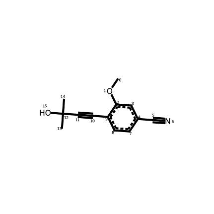 COc1cc(C#N)ccc1C#CC(C)(C)O